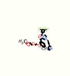 COCCOCCOc1cc(CC2CN(CC#Cc3cccnc3)CCN2C(=O)c2cc(C(F)(F)F)cc(C(F)(F)F)c2)ccc1C